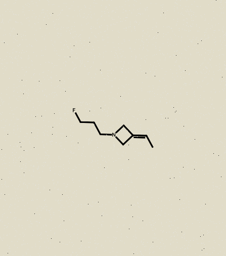 CC=C1CN(CCCF)C1